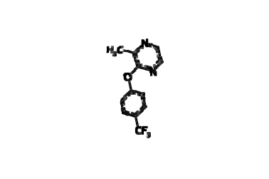 Cc1nccnc1Oc1ccc(C(F)(F)F)cc1